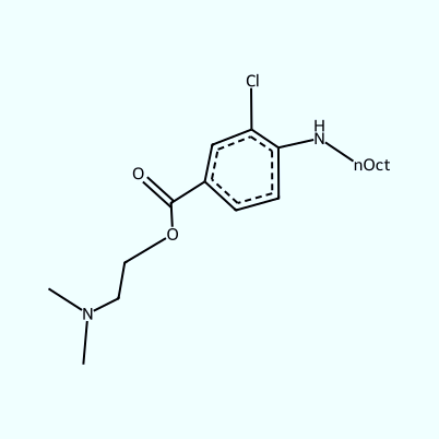 CCCCCCCCNc1ccc(C(=O)OCCN(C)C)cc1Cl